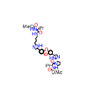 COC(=O)N[C@H](C(=O)NCCCCC1=NCC(c2ccc3c(c2)Oc2ccc(C4CN=C([C@@H]5CCCN5C(=O)[C@@H](NC(=O)OC)C(C)C)N4)cc2O3)N1)C(C)C